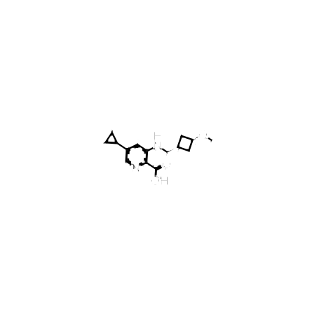 CO[C@H]1C[C@@H](CNc2cc(C3CC3)cnc2C(=O)O)C1